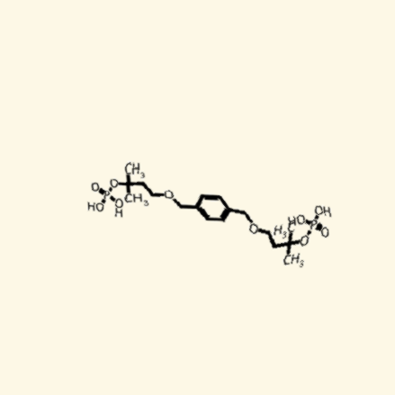 CC(C)(CCOCc1ccc(COCCC(C)(C)OP(=O)(O)O)cc1)OP(=O)(O)O